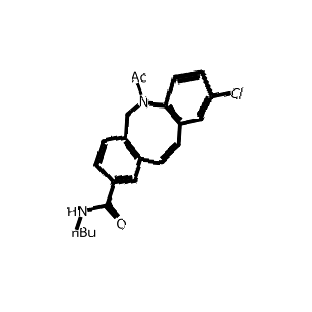 CCCCNC(=O)c1ccc2c(c1)C=Cc1cc(Cl)ccc1N(C(C)=O)C2